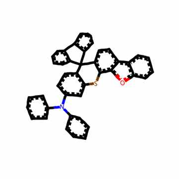 c1ccc(N(c2ccccc2)c2ccc3c(c2)Sc2c(ccc4c2oc2ccccc24)C32c3ccccc3-c3ccccc32)cc1